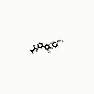 N#Cc1cc(-c2ccnc(NC(=O)C3CC3)c2)ccc1O[C@H]1CCN(C(=O)O)C[C@H]1F